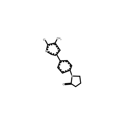 Cc1cc(-c2ccc(N3CCCC3=O)cc2)cnc1Cl